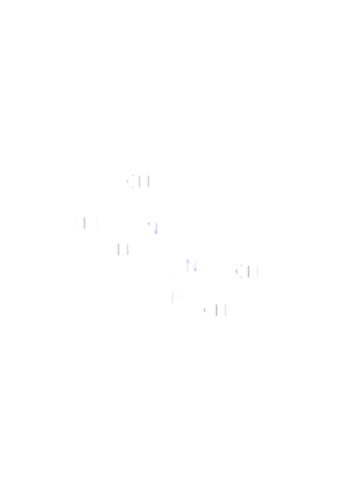 CC(C)N1CCN(C(C)C)[C@H]2C[C@H]21